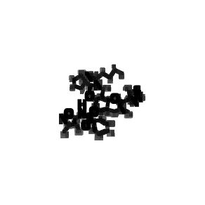 CCCCC1=NC2(CCCC2)C(=O)N1Cc1ccc(-c2ccccc2S(=O)(=O)Nc2onc(C)c2C)c(CN(C)C(=O)c2csnn2)c1